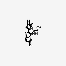 COCCNc1c(-c2c[nH]c(C)n2)nc2ccc(Br)cn12